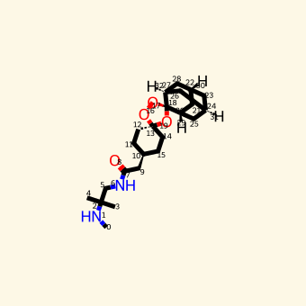 CNC(C)(C)CNC(=O)C[C@H]1CC[C@]2(CC1)OO[C@]1(O2)[C@@H]2C[C@H]3C[C@@H](C2)C[C@@H]1C3